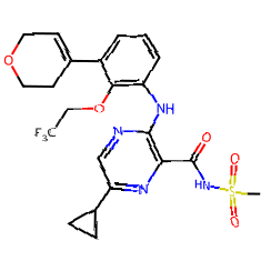 CS(=O)(=O)NC(=O)c1nc(C2CC2)cnc1Nc1cccc(C2=CCOCC2)c1OCC(F)(F)F